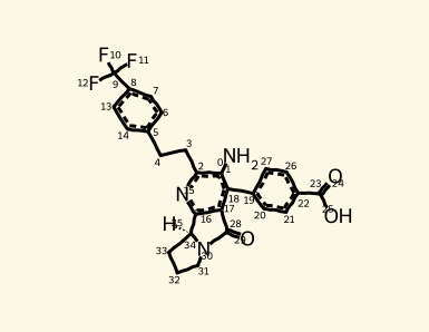 Nc1c(CCc2ccc(C(F)(F)F)cc2)nc2c(c1-c1ccc(C(=O)O)cc1)C(=O)N1CCC[C@@H]21